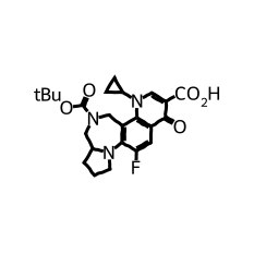 CC(C)(C)OC(=O)N1Cc2c(c(F)cc3c(=O)c(C(=O)O)cn(C4CC4)c23)N2CCCC2C1